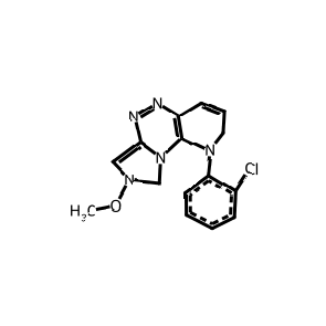 CON1C=C2N=NC3=C(N2C1)N(c1ccccc1Cl)CC=C3